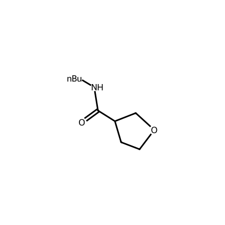 CCCCNC(=O)C1CCOC1